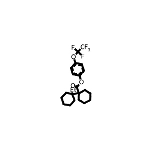 CCC1(C2(C(=O)Oc3ccc(OC(F)(F)C(F)(F)F)cc3)CCCCC2)CCCCC1